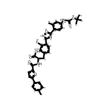 Cc1ccc(-c2ccc(C(=O)NC(Cc3ccc(-c4noc(-c5ccc(NC(=O)OC(C)(C)C)cc5C)n4)c(F)c3)C(=O)O)o2)cc1